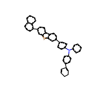 C1=CC(c2ccc(N(c3ccccc3)c3ccc(-c4ccc5c(c4)sc4cc(-c6cccc7ccccc67)ccc45)cc3)cc2)=CCC1